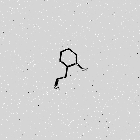 C=CCC1CCCC[C]1O